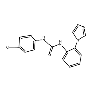 O=C(Nc1ccc(Cl)cc1)Nc1ccccc1-n1ccnc1